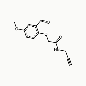 C#CCNC(=O)COc1ccc(OC)cc1C=O